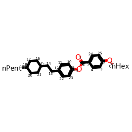 CCCCCCOc1ccc(C(=O)Oc2ccc(CCC3CCC(CCCCC)CC3)cc2)cc1